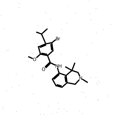 COc1cc(C(C)C)c(Br)cc1C(=O)Nc1cccc2c1C(C)(C)CN(C)C2